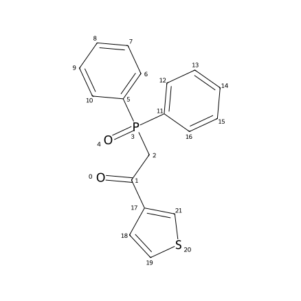 O=C(CP(=O)(c1ccccc1)c1ccccc1)c1ccsc1